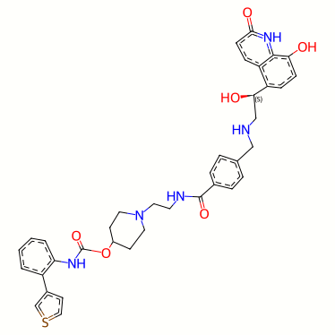 O=C(Nc1ccccc1-c1ccsc1)OC1CCN(CCNC(=O)c2ccc(CNC[C@@H](O)c3ccc(O)c4[nH]c(=O)ccc34)cc2)CC1